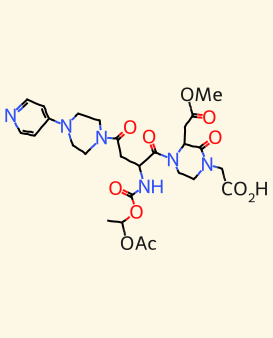 COC(=O)CC1C(=O)N(CC(=O)O)CCN1C(=O)C(CC(=O)N1CCN(c2ccncc2)CC1)NC(=O)OC(C)OC(C)=O